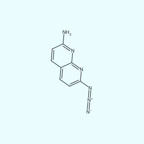 [N-]=[N+]=Nc1ccc2ccc(N)nc2n1